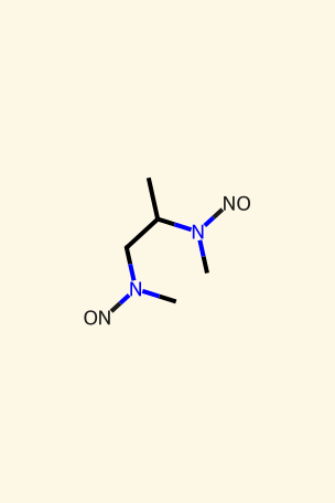 CC(CN(C)N=O)N(C)N=O